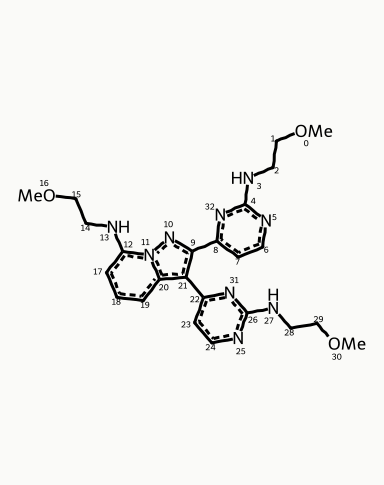 COCCNc1nccc(-c2nn3c(NCCOC)cccc3c2-c2ccnc(NCCOC)n2)n1